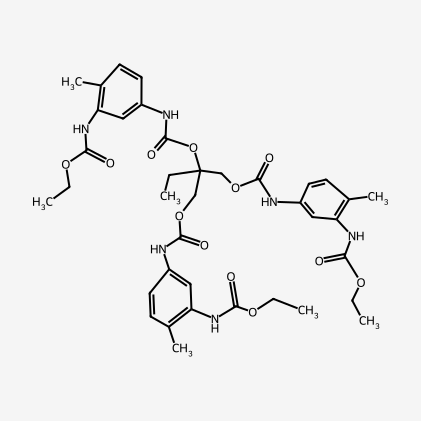 CCOC(=O)Nc1cc(NC(=O)OCC(CC)(COC(=O)Nc2ccc(C)c(NC(=O)OCC)c2)OC(=O)Nc2ccc(C)c(NC(=O)OCC)c2)ccc1C